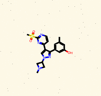 Cc1cc(O)cc(-c2nn(C3CN(C)C3)cc2-c2ccnc(S(C)(=O)=O)n2)c1